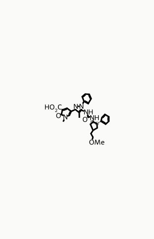 COCCC1C[C@@H](NC(=O)Nc2c(C)c(-c3cc(C(=O)O)c(=O)n(C)c3)nn2-c2ccccc2)[C@H](c2ccccc2)C1